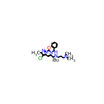 CCC(C)C(NCCCN(C)C)c1cc2c(Cl)c(C)nn2c(=O)n1Cc1ccccc1